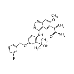 C=C(C(N)=O)c1cc2c(Nc3ccc(OCc4cccc(F)c4)cc3C(C)(C)O)ncnc2cc1OC